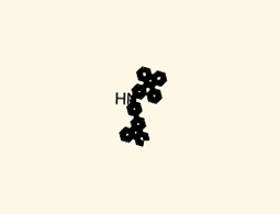 C=Cc1c(C=C)c2ccc(-c3ccc(Nc4ccc(-c5c6c(c7c(c5-c5ccccc5)C=CCC7)CCC=C6)cc4)cc3)cc2c2ccccc12